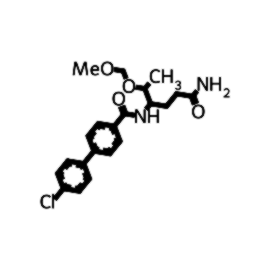 COCOC(C)C(CCC(N)=O)NC(=O)c1ccc(-c2ccc(Cl)cc2)cc1